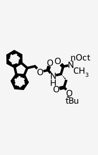 CCCCCCCCN(C)C(=O)[C@H](CC(=O)OC(C)(C)C)NC(=O)OCC1c2ccccc2-c2ccccc21